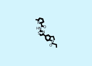 CCC(=O)N1CCc2cc(-c3csc(NC(=O)c4cccc(C)n4)n3)ccc21